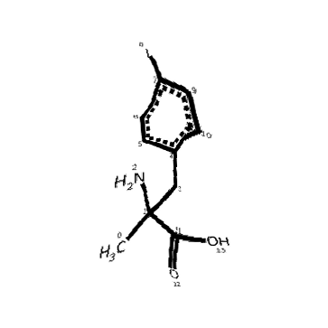 CC(N)(Cc1ccc(I)cc1)C(=O)O